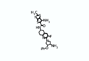 Cc1nc2sc(C(=O)NC3CCc4nc(N5CC(N)C(OC(C)C)C5)c(F)cc4C3)c(N)c2s1